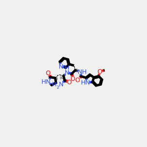 COc1cccc2[nH]c(C(=O)N[C@@H](Cc3cccnc3)C(=O)N[C@@H](C[C@@H]3CCNC3=O)C(N)=O)cc12